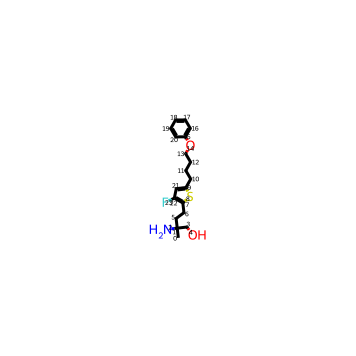 CC(N)(CO)CCc1sc(CCCCOc2ccccc2)cc1F